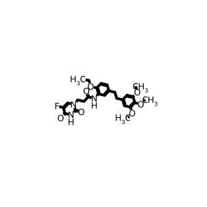 CCOc1ccc(CCc2cc(OC)c(OC)c(OC)c2)cc1NC(=O)CCn1cc(F)c(=O)[nH]c1=O